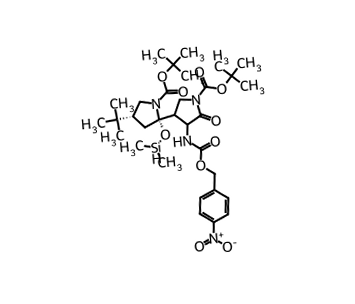 C[SiH](C)O[C@]1(C2CN(C(=O)OC(C)(C)C)C(=O)C2NC(=O)OCc2ccc([N+](=O)[O-])cc2)C[C@H](C(C)(C)C)CN1C(=O)OC(C)(C)C